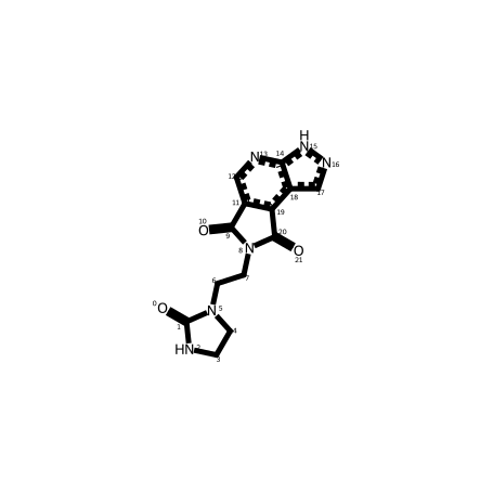 O=C1NCCN1CCN1C(=O)c2cnc3[nH]ncc3c2C1=O